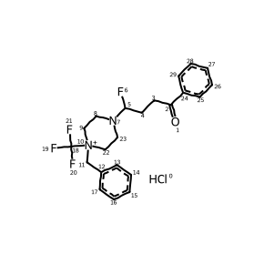 Cl.O=C(CCC(F)N1CC[N+](Cc2ccccc2)(C(F)(F)F)CC1)c1ccccc1